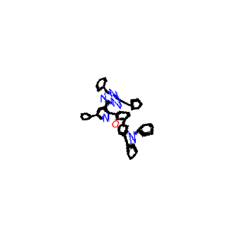 c1ccc(-c2cnc(-c3cccc4c3oc3cc5c6ccccc6n(-c6ccccc6)c5cc34)c(-c3nc(-c4ccccc4)nc(-c4ccccc4)n3)c2)cc1